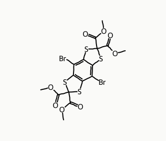 COC(=O)C1(C(=O)OC)Sc2c(Br)c3c(c(Br)c2S1)SC(C(=O)OC)(C(=O)OC)S3